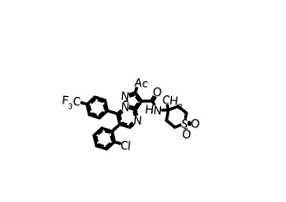 CC(=O)c1nn2c(-c3ccc(C(F)(F)F)cc3)c(-c3ccccc3Cl)cnc2c1C(=O)NC1(C)CCS(=O)(=O)CC1